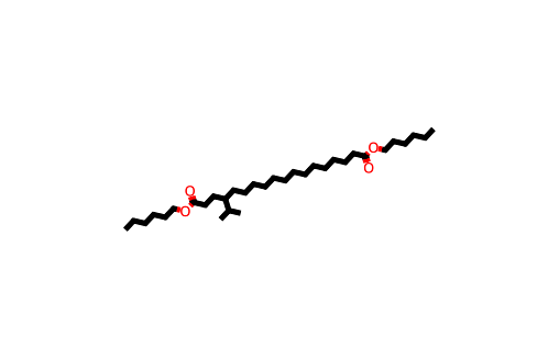 CCCCCCOC(=O)CCCCCCCCCCCCCC(CCC(=O)OCCCCCC)C(C)C